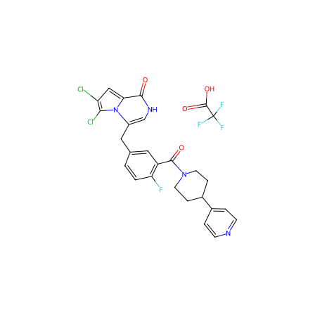 O=C(O)C(F)(F)F.O=C(c1cc(Cc2c[nH]c(=O)c3cc(Cl)c(Cl)n23)ccc1F)N1CCC(c2ccncc2)CC1